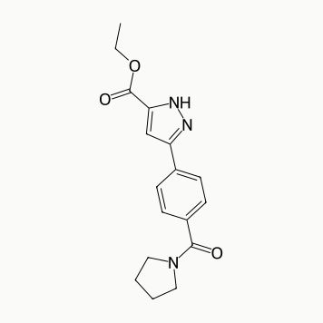 CCOC(=O)c1cc(-c2ccc(C(=O)N3CCCC3)cc2)n[nH]1